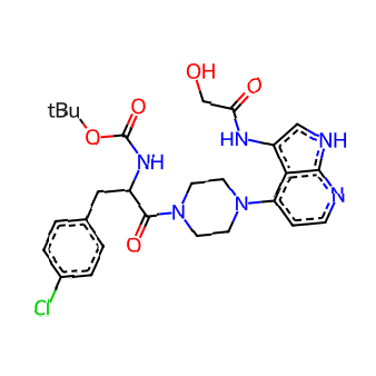 CC(C)(C)OC(=O)NC(Cc1ccc(Cl)cc1)C(=O)N1CCN(c2ccnc3[nH]cc(NC(=O)CO)c23)CC1